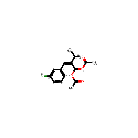 CC(=O)OC(OC(C)=O)C(=Cc1cccc(Br)c1)C(C)C